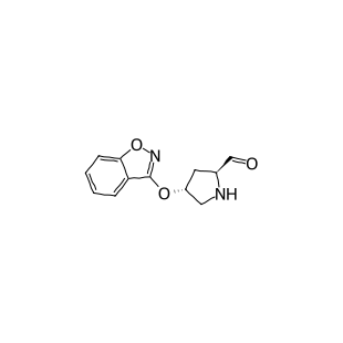 O=C[C@@H]1C[C@@H](Oc2noc3ccccc23)CN1